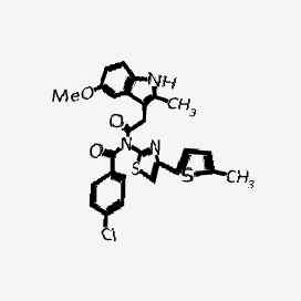 COc1ccc2[nH]c(C)c(CC(=O)N(C(=O)c3ccc(Cl)cc3)c3nc(-c4ccc(C)s4)cs3)c2c1